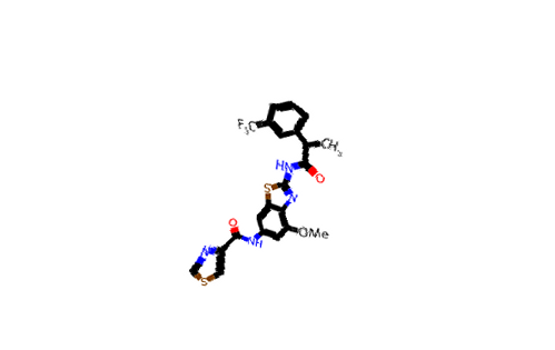 COc1cc(NC(=O)c2cscn2)cc2sc(NC(=O)C(C)c3cccc(C(F)(F)F)c3)nc12